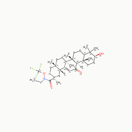 CCN(OC(F)(F)F)C(=O)[C@@]1(C)CC[C@]2(C)CC[C@]3(C)C(=CC(=O)[C@@H]4[C@@]5(C)CC[C@H](O)C(C)(C)C5CC[C@]43C)[C@@H]2C1